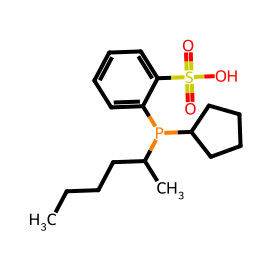 CCCCC(C)P(c1ccccc1S(=O)(=O)O)C1CCCC1